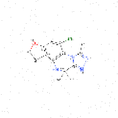 Cc1nnc2n1-c1c(Cl)cc3c(c1NC2(C)C)CCO3